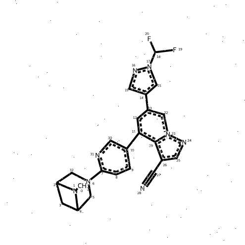 CN1C2CC1CN(c1ccc(-c3cc(-c4cnn(C(F)F)c4)cn4ncc(C#N)c34)cn1)C2